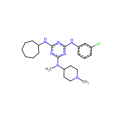 CN1CCC(N(C)c2nc(Nc3cc[c]c(Cl)c3)nc(NC3CCCCCC3)n2)CC1